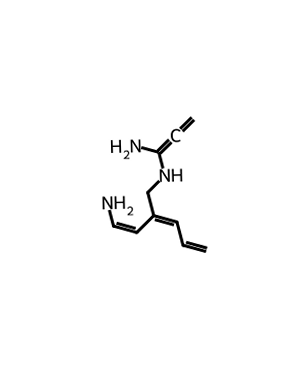 C=C=C(N)NCC(/C=C\N)=C/C=C